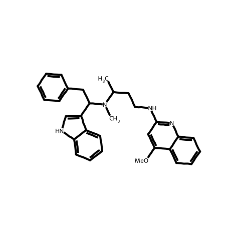 COc1cc(NCCC(C)N(C)C(Cc2ccccc2)c2c[nH]c3ccccc23)nc2ccccc12